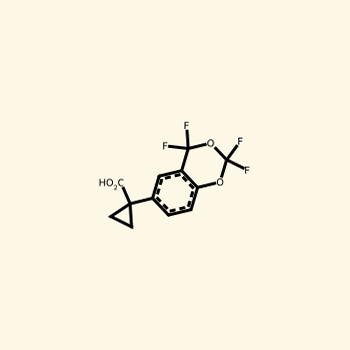 O=C(O)C1(c2ccc3c(c2)C(F)(F)OC(F)(F)O3)CC1